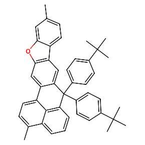 Cc1ccc2c(c1)oc1cc3c(cc12)C(c1ccc(C(C)(C)C)cc1)(c1ccc(C(C)(C)C)cc1)c1cccc2c(C)ccc-3c12